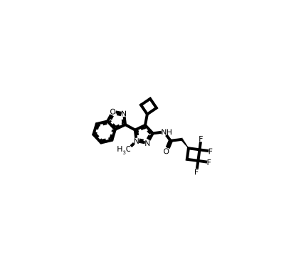 Cn1nc(NC(=O)C[C@@H]2CC(F)(F)C2(F)F)c(C2CCC2)c1-c1noc2ccccc12